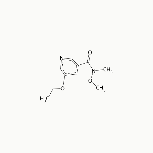 CCOc1cncc(C(=O)N(C)OC)c1